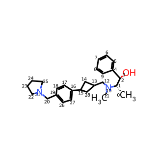 C[C@@H]([C@H](O)c1ccccc1)N(C)CC1CC(c2ccc(CN3CCCC3)cc2)C1